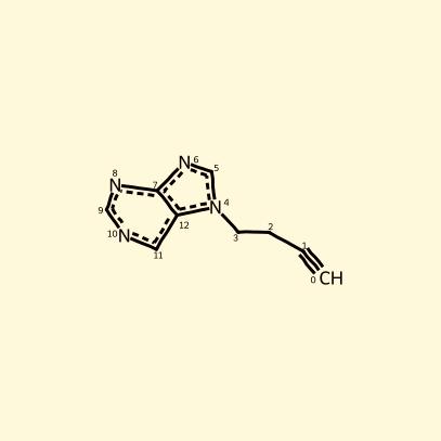 C#CCCn1cnc2ncncc21